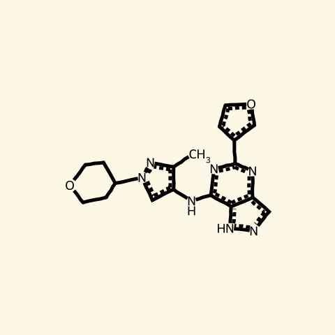 Cc1nn(C2CCOCC2)cc1Nc1nc(-c2ccoc2)nc2cn[nH]c12